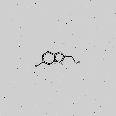 COCc1nc2ccc(Br)cc2s1